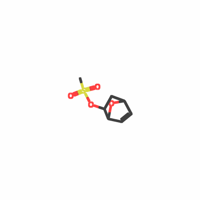 CS(=O)(=O)OC1CC2C=CC1O2